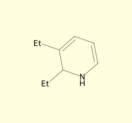 CCC1=CC=CNC1CC